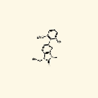 COc1cccc(C#N)c1-c1ccc2c(n1)n(C)c(=O)n2CC(C)(C)C